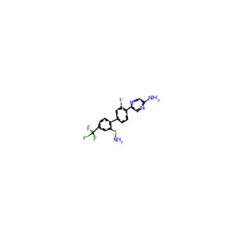 NSc1cc(C(F)(F)F)ccc1-c1ccc(-c2cnc(N)cn2)c(F)c1